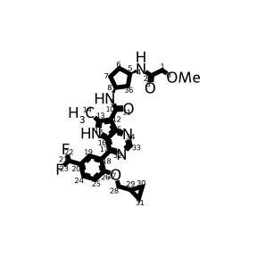 COCC(=O)N[C@@H]1CC[C@H](NC(=O)c2c(C)[nH]c3c(-c4cc(C(F)F)ccc4OCC4CC4)ncnc23)C1